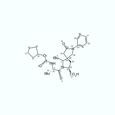 CC(C)(C)C1N(C(=O)[C@@H](NC(=O)OC2CCCC2)C(C)(C)C)[C@H](C(=O)O)C[C@]12CC(=O)N(c1ccccc1)C2